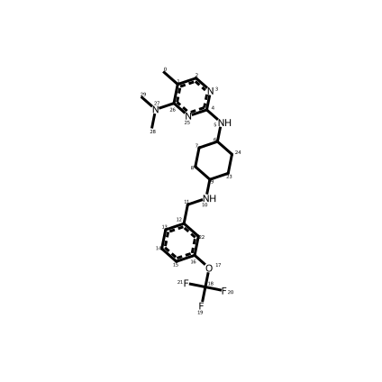 Cc1cnc(NC2CCC(NCc3cccc(OC(F)(F)F)c3)CC2)nc1N(C)C